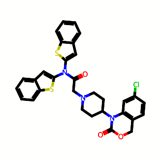 O=C(CN1CCC(N2C(=O)OCc3ccc(Cl)cc32)CC1)N(c1cc2ccccc2s1)c1cc2ccccc2s1